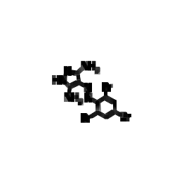 Nc1n[nH]c(N)c1N=Nc1c(Br)cc(Br)cc1Br